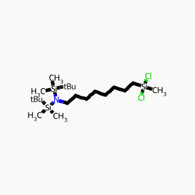 CC(C)(C)[Si](C)(C)N(CCCCCCCC[Si](C)(Cl)Cl)[Si](C)(C)C(C)(C)C